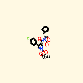 CC(C)(C)OC(=O)N1C[C@@H](C(=O)N2C(=O)OC[C@H]2Cc2ccccc2)[C@H](c2ccc(F)cc2)C1